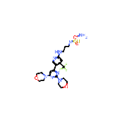 NO[SH](=O)=NCCCNc1cc(C(F)(F)F)c(-c2cc(N3CCOCC3)nc(N3CCOCC3)n2)cn1